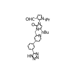 CCCCc1cn(-c2c(C=O)ccn2C(C)C)c(=O)n1Cc1cc(-c2cccc(-c3nnn[nH]3)c2)ccn1